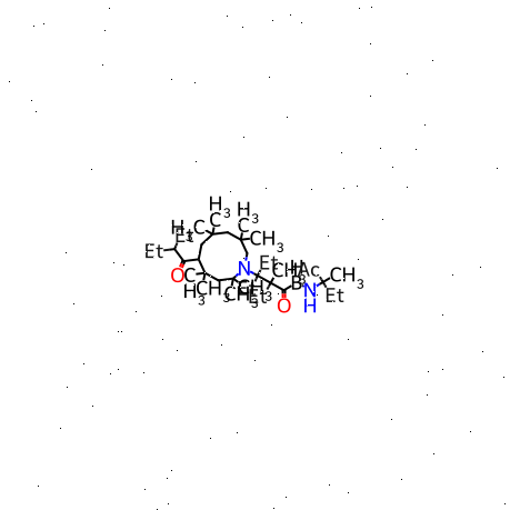 CCC(CC)C(=O)C1CC(C)(C)CC(C)(C)CN(C(CC)(CC)C(C)(CC)C(=O)BNC(C)(CC)C(C)=O)C(C)(C)CC1(C)C